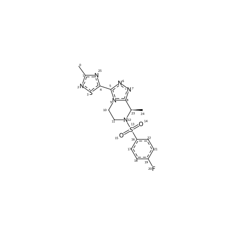 Cc1nsc(-c2nnc3n2CCN(S(=O)(=O)c2ccc(F)cc2)[C@@H]3C)n1